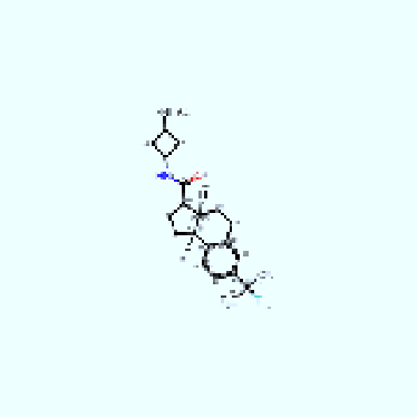 CC(=O)N[C@H]1C[C@H](NC(=O)[C@@H]2CC[C@H]3c4ccc(C(F)(C(F)(F)F)C(F)(F)F)cc4CC[C@@H]23)C1